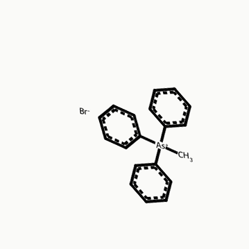 C[As+](c1ccccc1)(c1ccccc1)c1ccccc1.[Br-]